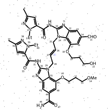 CCn1nc(C)cc1C(=O)Nc1nc2cc(C=O)cc(OCCCO)c2n1C/C=C/Cn1c(NC(=O)c2cc(C)nn2CC)nc2cc(C(N)=O)cc(OCCCOC)c21